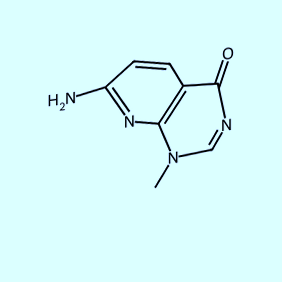 Cn1cnc(=O)c2ccc(N)nc21